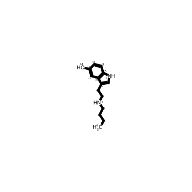 CCCCNCCc1c[nH]c2ccc(O)cc12